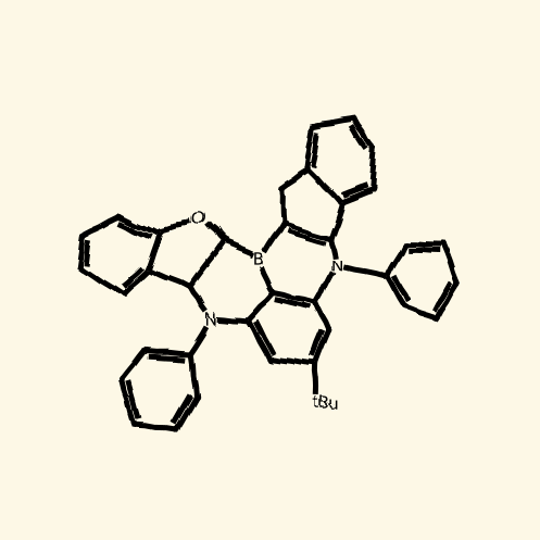 CC(C)(C)c1cc2c3c(c1)N(c1ccccc1)C1c4ccccc4OC1B3C1=C(c3ccccc3C1)N2c1ccccc1